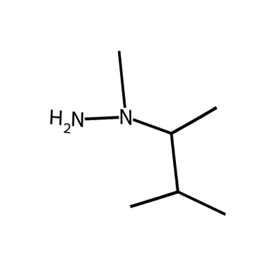 CC(C)C(C)N(C)N